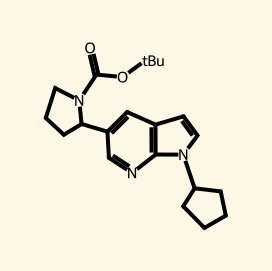 CC(C)(C)OC(=O)N1CCCC1c1cnc2c(ccn2C2CCCC2)c1